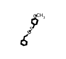 COc1ccc(CSSSCCc2ccccc2)cc1